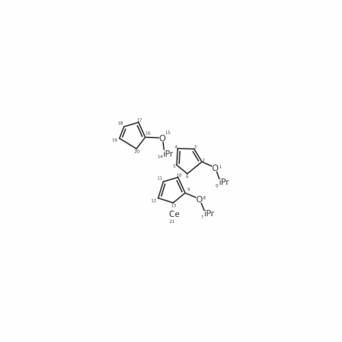 CC(C)OC1=CC=CC1.CC(C)OC1=CC=CC1.CC(C)OC1=CC=CC1.[Ce]